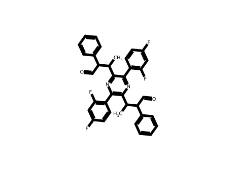 CC(c1nc(-c2ccc(F)cc2F)c(C(C)C(C=O)c2ccccc2)nc1-c1ccc(F)cc1F)C(C=O)c1ccccc1